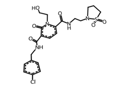 O=C(NCc1ccc(Cl)cc1)c1ccc(C(=O)NCCN2CCCS2(=O)=O)n(CCO)c1=O